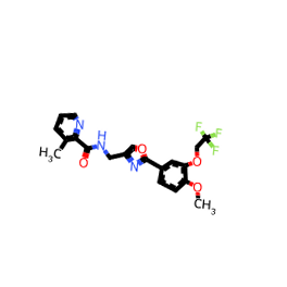 COc1ccc(-c2nc(CNC(=O)c3ncccc3C)co2)cc1OCC(F)(F)F